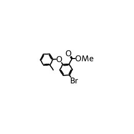 COC(=O)c1cc(Br)ccc1Oc1ccccc1C